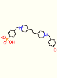 O=P(O)(O)c1ccc(C[n+]2ccc(C=Cc3cc[n+](Cc4ccc(O)cc4)cc3)cc2)cc1